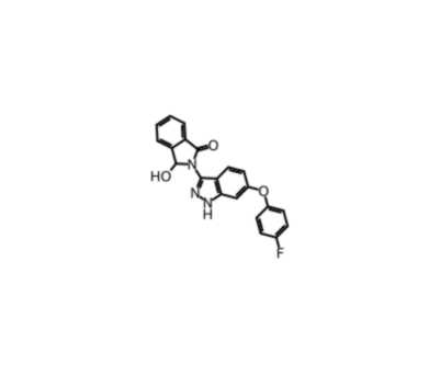 O=C1c2ccccc2C(O)N1c1n[nH]c2cc(Oc3ccc(F)cc3)ccc12